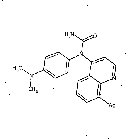 CC(=O)c1cccc2c(N(C(N)=O)c3ccc(N(C)C)cc3)ccnc12